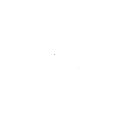 FNc1cnc2[nH]ccc2c1